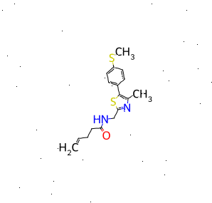 C=CCCC(=O)NCc1nc(C)c(-c2ccc(SC)cc2)s1